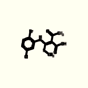 CS/C(Nc1cc(Cl)ccc1Br)=C(/C(C)=O)C(=O)O